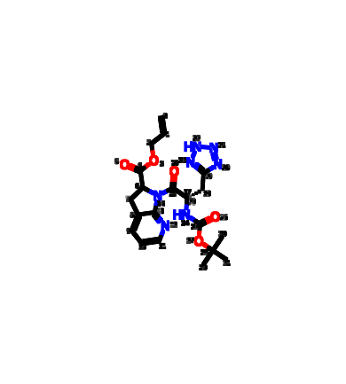 C=CCOC(=O)C1Cc2cccnc2N1C(=O)[C@H](Cc1nn[nH]n1)NC(=O)OC(C)(C)C